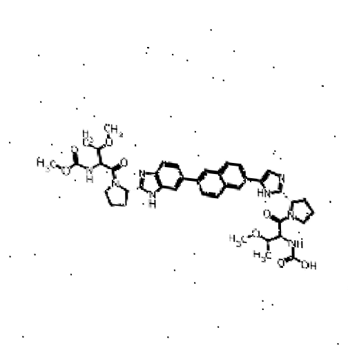 COC(=O)N[C@H](C(=O)N1CCC[C@H]1c1nc2ccc(-c3ccc4cc(-c5cnc([C@@H]6CCCN6C(=O)[C@@H](NC(=O)O)[C@@H](C)OC)[nH]5)ccc4c3)cc2[nH]1)[C@@H](C)OC